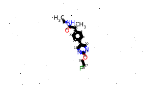 CCNC(=O)C(C)c1ccc(-c2cnc(OCCF)nc2)cc1